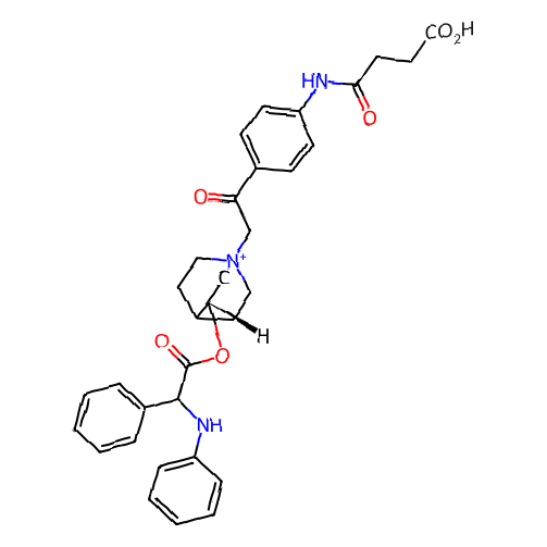 O=C(O)CCC(=O)Nc1ccc(C(=O)C[N+]23CCC(CC2)[C@@H](OC(=O)C(Nc2ccccc2)c2ccccc2)C3)cc1